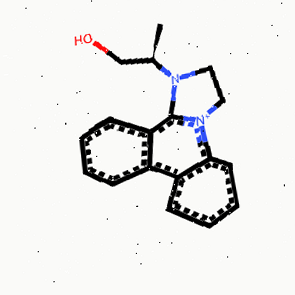 C[C@H](CO)N1CC[n+]2c1c1ccccc1c1ccccc12